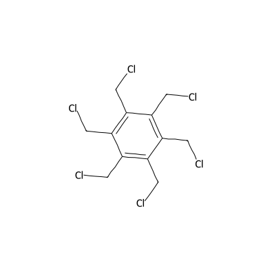 ClCc1c(CCl)c(CCl)c(CCl)c(CCl)c1CCl